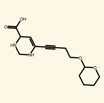 O=C(O)C1C=C(C#CCCOC2CCCCO2)NCN1